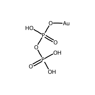 O=P(O)(O)OP(=O)(O)[O][Au]